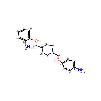 Nc1ccc(OCC2CCC(COc3ccccc3N)CC2)cc1